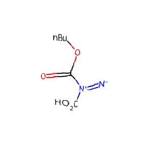 CCCCOC(=O)[N+](=[N-])C(=O)O